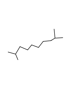 CC(C)[CH]CCCCCC(C)C